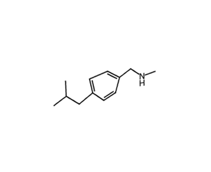 CNCc1ccc(CC(C)C)cc1